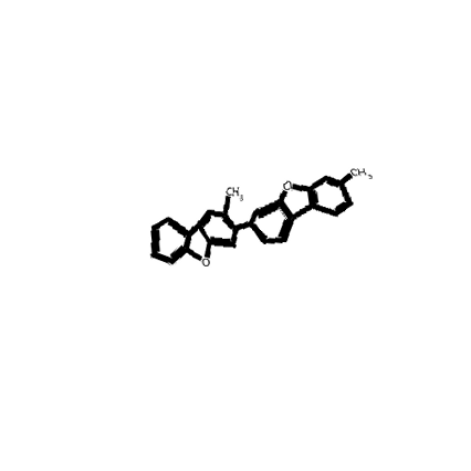 Cc1ccc2c(c1)oc1cc(-c3cc4oc5ccccc5c4cc3C)ccc12